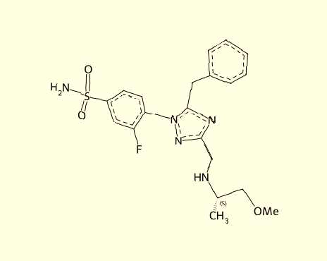 COC[C@H](C)NCc1nc(Cc2ccccc2)n(-c2ccc(S(N)(=O)=O)cc2F)n1